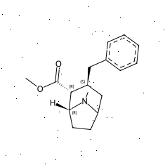 COC(=O)[C@@H]1[C@@H](Cc2ccccc2)CC2CC[C@H]1N2C